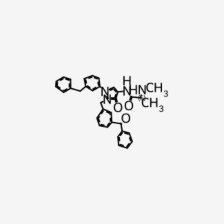 CN[C@@H](C)C(=O)Nc1cn(-c2cccc(Cc3ccccc3)c2)n(Cc2cccc(C(=O)c3ccccc3)c2)c1=O